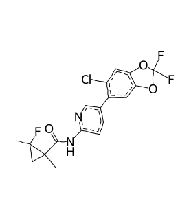 CC1(F)CC1(C)C(=O)Nc1ccc(-c2cc3c(cc2Cl)OC(F)(F)O3)cn1